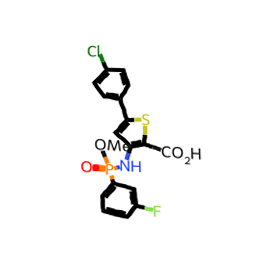 COP(=O)(Nc1cc(-c2ccc(Cl)cc2)sc1C(=O)O)c1cccc(F)c1